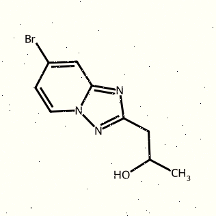 CC(O)Cc1nc2cc(Br)ccn2n1